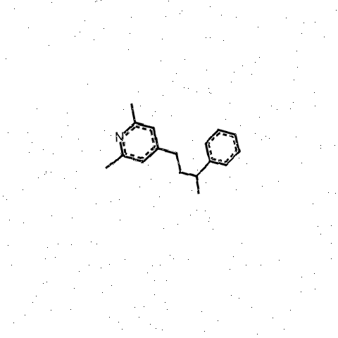 Cc1cc(CCC(C)c2ccccc2)cc(C)n1